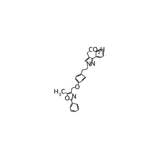 Cc1oc(-c2ccccc2)nc1COc1ccc(CCn2cc(CC(=O)O)c(-c3ccccc3)n2)cc1